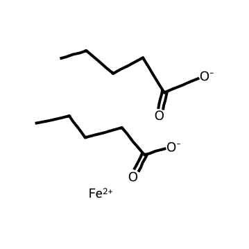 CCCCC(=O)[O-].CCCCC(=O)[O-].[Fe+2]